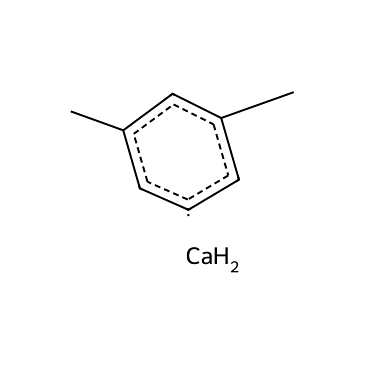 Cc1c[c]cc(C)c1.[CaH2]